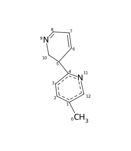 Cc1ccc(C2C=CC=NC2)nc1